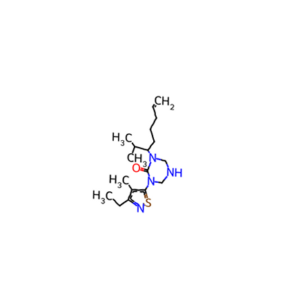 C=CCCCC(C(C)C)N1CNCN(c2snc(CC)c2C)C1=O